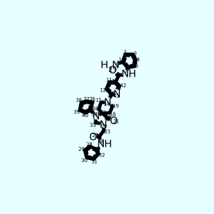 Nc1ccccc1NC(=O)c1ccc(N2CCC3(CC2)C(=O)N(CC(=O)Nc2ccccc2)CN3c2ccccc2)nc1